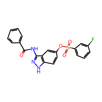 O=C(Nc1n[nH]c2ccc(OS(=O)(=O)c3cccc(F)c3)cc12)c1ccccc1